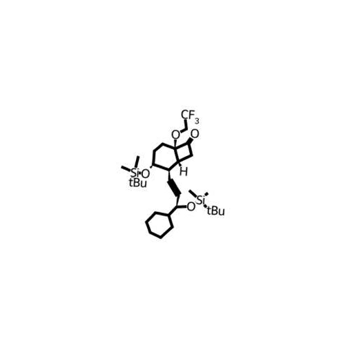 CC(C)(C)[Si](C)(C)O[C@H](C#C[C@@H]1[C@H]2CC(=O)[C@@]2(OCC(F)(F)F)CC[C@H]1O[Si](C)(C)C(C)(C)C)C1CCCCC1